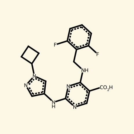 O=C(O)c1cnc(Nc2cnn(C3CCC3)c2)nc1NCc1c(F)cccc1F